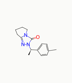 Cc1ccc([C@@H](C)n2nc3n(c2=O)CCCC3)cc1